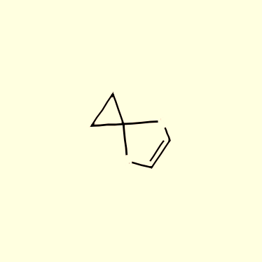 C1=CSC2(CC2)S1